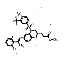 COC(=O)CC[C@H]1CN(S(=O)(=O)c2ccc(C)c(C(F)(F)F)c2)c2cc(/C=C(\C)c3c(F)cccc3Cl)ccc2O1